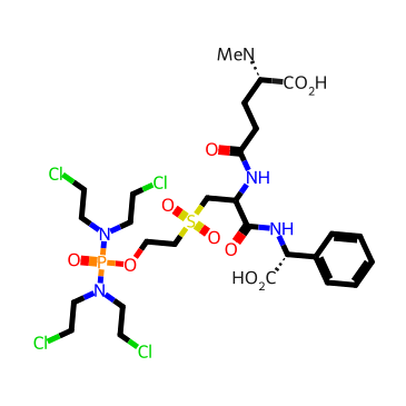 CN[C@@H](CCC(=O)NC(CS(=O)(=O)CCOP(=O)(N(CCCl)CCCl)N(CCCl)CCCl)C(=O)N[C@@H](C(=O)O)c1ccccc1)C(=O)O